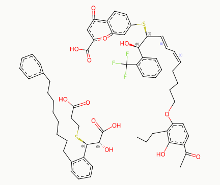 CCCc1c(OCCCC/C=C\C=C\[C@H](Sc2ccc3c(=O)cc(C(=O)O)oc3c2)[C@H](O)c2ccccc2C(F)(F)F)ccc(C(C)=O)c1O.O=C(O)CCS[C@H](c1ccccc1CCCCCCCCc1ccccc1)[C@@H](O)C(=O)O